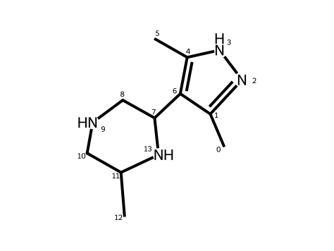 Cc1n[nH]c(C)c1C1CNCC(C)N1